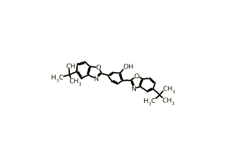 CC(C)(C)c1ccc2oc(-c3ccc(-c4nc5cc(C(C)(C)C)ccc5o4)c(O)c3)nc2c1